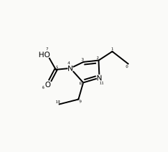 CCc1cn(C(=O)O)c(CC)n1